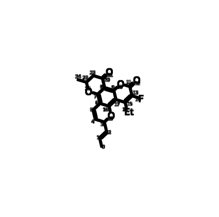 C/C=C/C1C=Cc2c3c(c4oc(=O)c(F)c(CC)c4c2O1)C(=O)CC(C)O3